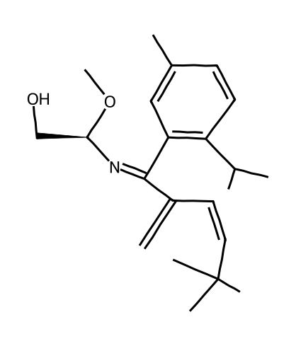 C=C(/C=C\C(C)(C)C)/C(=N/[C@@H](CO)OC)c1cc(C)ccc1C(C)C